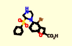 O=C(O)c1cc2c(Br)c(N3CCNCC3S(=O)(=O)c3ccccc3)ccc2o1